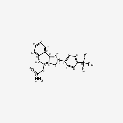 NC(=O)CC1=C2CN(c3ccc(C(F)(F)F)cc3)N=C2c2ccccc2S1